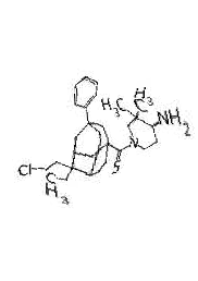 CCC1(CCCl)C2CC3(C(=S)N4CC[C@H](N)C(C)(C)C4)CC1CC(c1ccccc1)(C2)C3